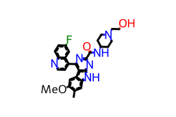 COc1cc2c(cc1C)[nH]c1nc(C(=O)NC3CCN(CCO)CC3)nc(-c3ccnc4ccc(F)cc34)c12